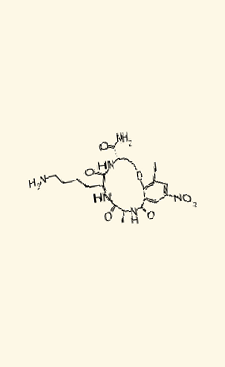 C[C@@H]1NC(=O)c2cc([N+](=O)[O-])cc(I)c2OCC[C@@H](C(N)=O)NC(=O)[C@H](CCCCN)NC1=O